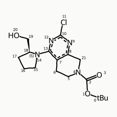 CC(C)(C)OC(=O)N1CCc2c(nc(Cl)nc2N2CCC[C@H]2CO)C1